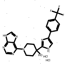 Cl.Cl.OC1(c2nc(-c3ccc(C(F)(F)F)cc3)c[nH]2)CCN(c2ncnc3[nH]cnc23)CC1